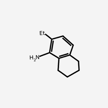 CCc1ccc2c(c1N)CCCC2